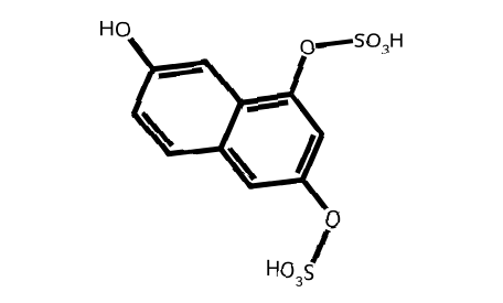 O=S(=O)(O)Oc1cc(OS(=O)(=O)O)c2cc(O)ccc2c1